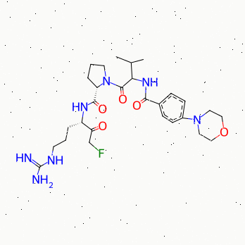 CC(C)C(NC(=O)c1ccc(N2CCOCC2)cc1)C(=O)N1CCC[C@H]1C(=O)N[C@@H](CCCNC(=N)N)C(=O)CF